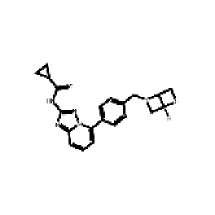 O=C(Nc1nc2cccc(-c3ccc(CN4C[C@H]5OCC54)cc3)n2n1)C1CC1